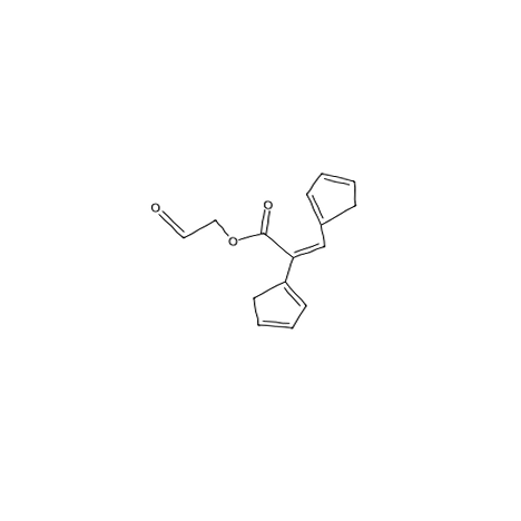 O=CCOC(=O)C(=CC1=CC=CC1)C1=CC=CC1